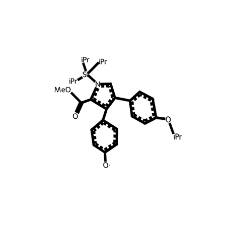 COC(=O)c1c(-c2ccc([O])cc2)c(-c2ccc(OC(C)C)cc2)cn1[Si](C(C)C)(C(C)C)C(C)C